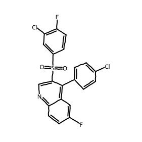 O=S(=O)(c1ccc(F)c(Cl)c1)c1cnc2ccc(F)cc2c1-c1ccc(Cl)cc1